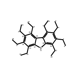 CCc1c(CC)c(CC)c2c(sc3c(CC)c(CC)c(CC)c(CC)c32)c1CC